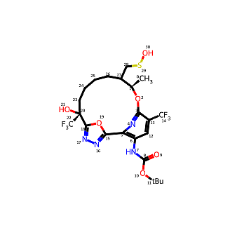 C[C@H]1Oc2nc(c(NC(=O)OC(C)(C)C)cc2C(F)(F)F)-c2nnc(o2)[C@@](O)(C(F)(F)F)CCCCC1CSO